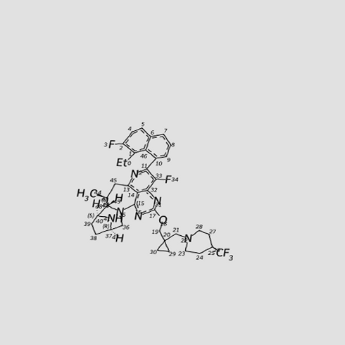 CCc1c(F)ccc2cccc(-c3nc4c5c(nc(OCC6(CN7CCC(C(F)(F)F)CC7)CC6)nc5c3F)N3C[C@H]5CC[C@H](N5)[C@@H]3[C@@H](C)C4)c12